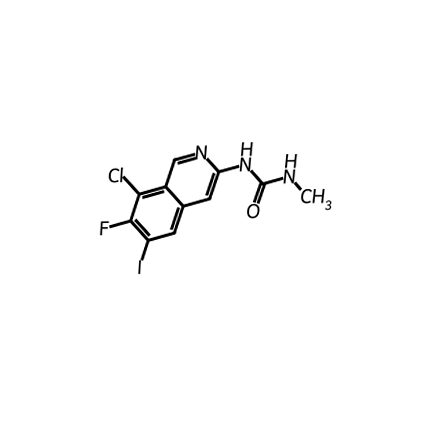 CNC(=O)Nc1cc2cc(I)c(F)c(Cl)c2cn1